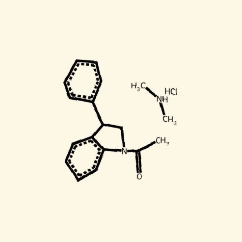 CC(=O)N1CC(c2ccccc2)c2ccccc21.CNC.Cl